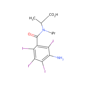 CC(C)N(C(=O)c1c(I)c(N)c(I)c(I)c1I)C(C)C(=O)O